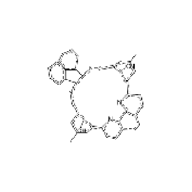 Cc1cc2cnc(-c3ccccc3)c(-c3ccccc3)ncc3cc(C)cc(c3O)c3ccc4ccc5ccc(nc5c4n3)c(c1)c2O